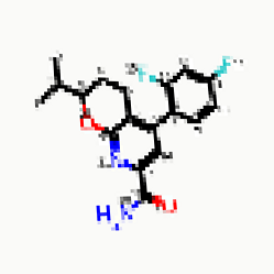 CC(C)C1CCc2c(-c3ccc(F)cc3F)cc(C(N)=O)nc2O1